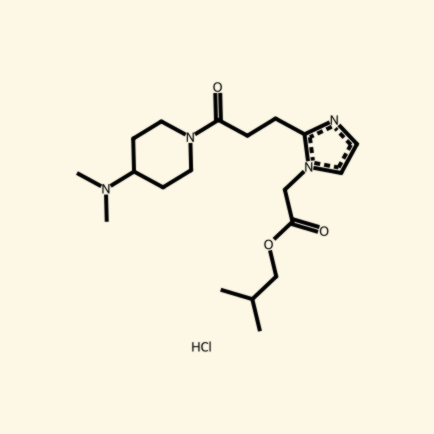 CC(C)COC(=O)Cn1ccnc1CCC(=O)N1CCC(N(C)C)CC1.Cl